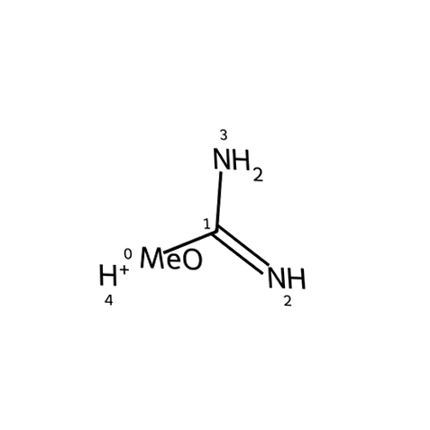 COC(=N)N.[H+]